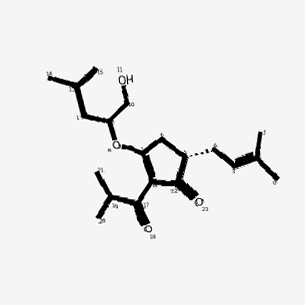 CC(C)=CC[C@H]1CC(OC(CO)CC(C)C)=C(C(=O)C(C)C)C1=O